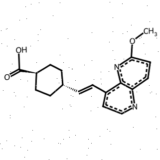 COc1ccc2nccc(/C=C/[C@H]3CC[C@H](C(=O)O)CC3)c2n1